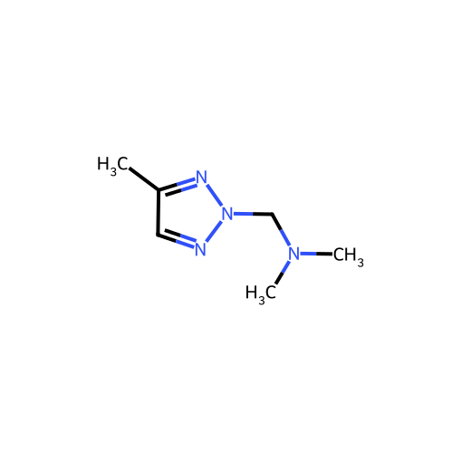 Cc1cnn(CN(C)C)n1